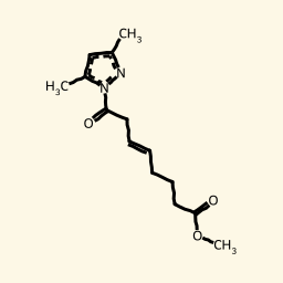 COC(=O)CCC/C=C/CC(=O)n1nc(C)cc1C